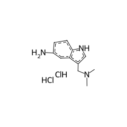 CN(C)Cc1c[nH]c2ccc(N)cc12.Cl.Cl